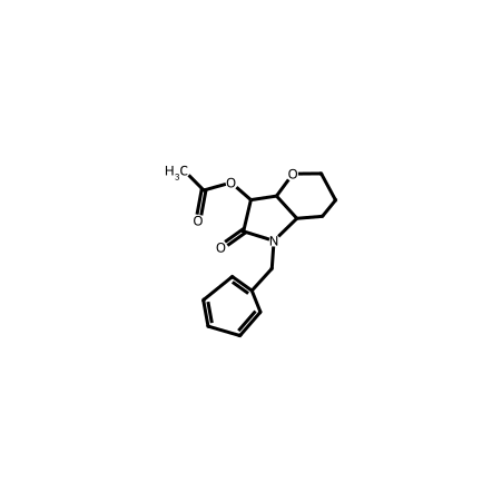 CC(=O)OC1C(=O)N(Cc2ccccc2)C2CCCOC12